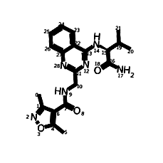 Cc1noc(C)c1C(=O)NCc1nc(N[C@H](C(N)=O)C(C)C)c2ccccc2n1